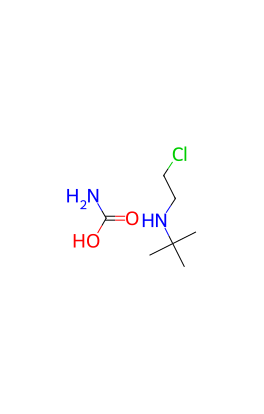 CC(C)(C)NCCCl.NC(=O)O